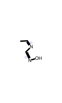 C/C=N\C=N/O